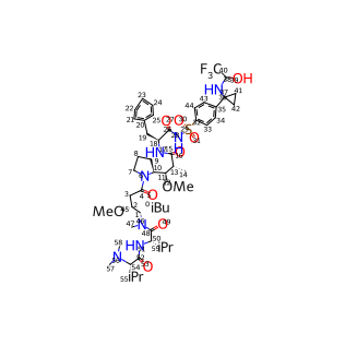 CC[C@H](C)[C@@H]([C@@H](CC(=O)N1CCC[C@H]1[C@H](OC)[C@@H](C)C(=O)N[C@@H](Cc1ccccc1)C(=O)NS(=O)(=O)c1ccc(C2(NC(O)C(F)(F)F)CC2)cc1)OC)N(C)C(=O)[C@@H](NC(=O)[C@H](C(C)C)N(C)C)C(C)C